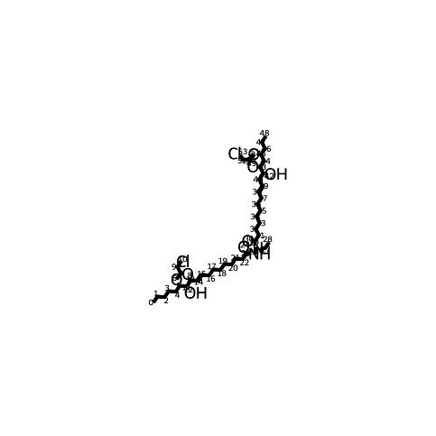 CCCCCC(OC(=O)CCl)C(O)CC=CCCCCCCCC(=O)NN(CC)C(=O)CCCCCCCC=CCC(O)C(CCCCC)OC(=O)CCl